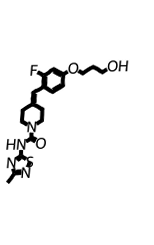 Cc1nsc(NC(=O)N2CCC(=Cc3ccc(OCCCO)cc3F)CC2)n1